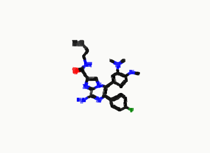 C=Nc1ccc(-c2c(-c3ccc(F)cc3)nc(N)c3nc(C(=O)NCCOC)cn23)cc1N(C)C